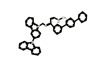 CN/C=C\C(=N/Cn1c2ccccc2c2cc(-n3c4ccccc4c4ccccc43)ccc21)c1cccc(-c2ccc(-c3ccccc3)cc2)c1